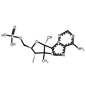 CC1(C)[C@H](I)[C@@H](COP(=O)(O)O)O[C@@]1(C#N)c1cnc2c(N)ncnn12